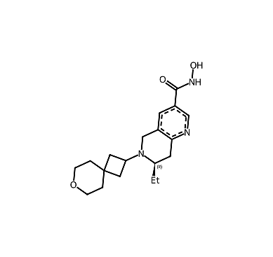 CC[C@@H]1Cc2ncc(C(=O)NO)cc2CN1C1CC2(CCOCC2)C1